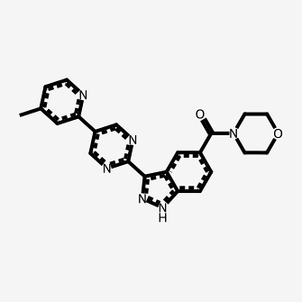 Cc1ccnc(-c2cnc(-c3n[nH]c4ccc(C(=O)N5CCOCC5)cc34)nc2)c1